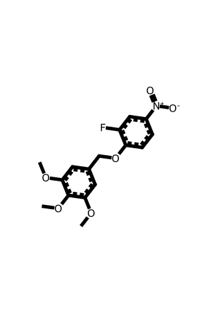 COc1cc(COc2ccc([N+](=O)[O-])cc2F)cc(OC)c1OC